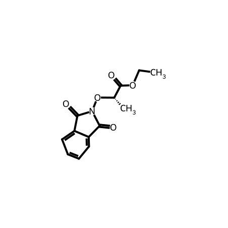 CCOC(=O)[C@H](C)ON1C(=O)c2ccccc2C1=O